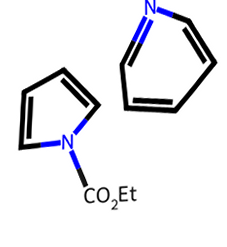 CCOC(=O)n1cccc1.c1ccncc1